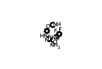 NC(=O)c1cnc(Nc2ccc(OC3CCNCC3)cc2)nc1NCc1c(F)ccc(F)c1F